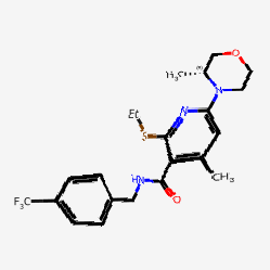 CCSc1nc(N2CCOC[C@H]2C)cc(C)c1C(=O)NCc1ccc(C(F)(F)F)cc1